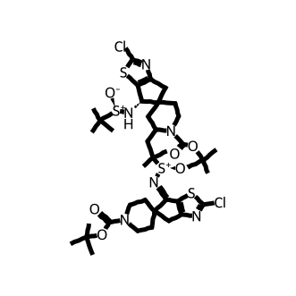 CC(C)(C)OC(=O)N1CCC2(CC1)Cc1nc(Cl)sc1/C2=N\[S@+]([O-])C(C)(C)CC1CC2(CCN1C(=O)OC(C)(C)C)Cc1nc(Cl)sc1[C@H]2N[S@+]([O-])C(C)(C)C